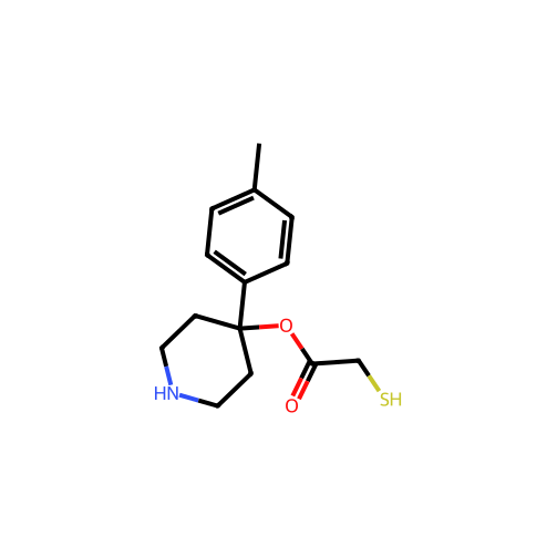 Cc1ccc(C2(OC(=O)CS)CCNCC2)cc1